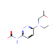 CCN(CC(C)O)c1ccc(N(N)C(=O)O)nn1